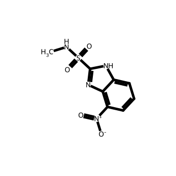 CNS(=O)(=O)c1nc2c([N+](=O)[O-])cccc2[nH]1